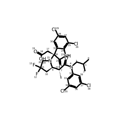 CC(C)CN(C(=O)[C@H](C)[C@H]1CC(F)(F)CN1[C@@]1(CC(=O)O)C(=O)Nc2c(Cl)cc(Cl)cc21)c1cc(Cl)cc(Cl)c1